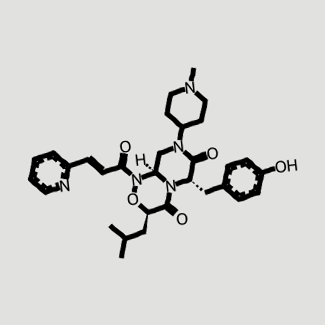 CC(C)C[C@H]1ON(C(=O)/C=C/c2ccccn2)[C@H]2CN(C3CCN(C)CC3)C(=O)[C@H](Cc3ccc(O)cc3)N2C1=O